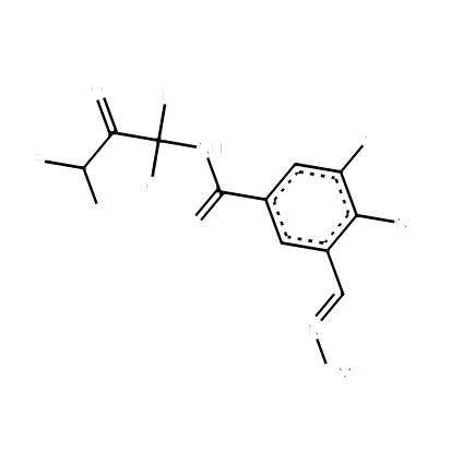 CCC(C)(NC(=O)c1cc(Cl)c(N)c(C=NOC)c1)C(=O)C(F)I